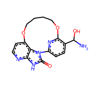 NC(O)c1ccc2nc1OCCCCOc1ccnc3[nH]c(=O)n-2c13